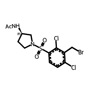 CC(=O)N[C@@H]1CCN(S(=O)(=O)c2ccc(Cl)c(CBr)c2Cl)C1